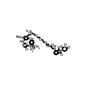 COc1cc(CCN(C)CCOCCOCCOCCNC(=O)CNc2cccc3c2C(=O)N(C2CCC(=O)NC2=O)C3=O)c(C)cc1Nc1ncc(Cl)c(Nc2ccccc2P(C)(C)=O)n1